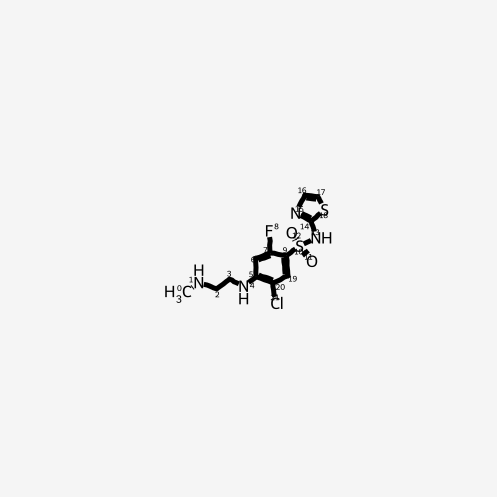 CNCCNc1cc(F)c(S(=O)(=O)Nc2nccs2)cc1Cl